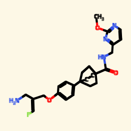 COc1nccc(CNC(=O)C23CCC(c4ccc(OCC(=CF)CN)cc4)(CC2)CC3)n1